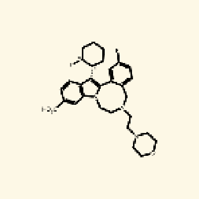 O=C(O)c1ccc2c([C@H]3CCCC[C@@H]3F)c3n(c2c1)CCN(CCN1CCOCC1)Cc1ccc(F)cc1-3